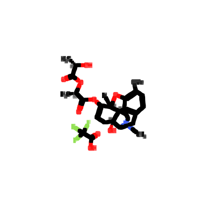 COc1ccc2c3c1O[C@H]1C(OC(=O)[C@H](C)OC(=O)[C@H](C)O)=CC[C@]4(O)C(C2)N(C)CC[C@]314.O=C(O)C(F)(F)F